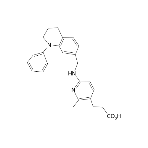 Cc1nc(NCc2ccc3c(c2)N(c2ccccc2)CCC3)ccc1CCC(=O)O